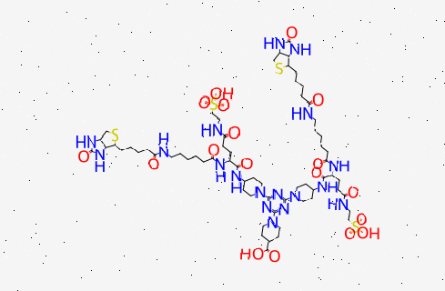 O=C(CCCCC1SCC2NC(=O)NC21)NCCCCCC(=O)NC(CCC(=O)NCCS(=O)(=O)O)C(=O)NC1CCN(c2nc(N3CCC(NC(=O)C(CCC(=O)NCCS(=O)(=O)O)NC(=O)CCCCCNC(=O)CCCCC4SCC5NC(=O)NC54)CC3)nc(N3CCC(C(=O)O)CC3)n2)CC1